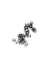 CC(C)(C)OC(=O)NCC(CN1CCOCC1)Nc1ccc2c(c1)Sc1cccc(-c3cc(N4CCOCC4)cc(=O)[nH]3)c1S2